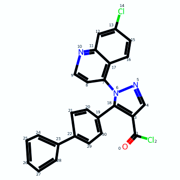 O=C(Cl)c1cnn(-c2ccnc3cc(Cl)ccc23)c1-c1ccc(-c2ccccc2)cc1